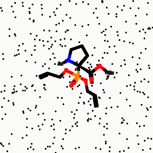 C=CCOP(=O)(OCC=C)[C@@]1(C(=O)OC(C)(C)C)CCCN1C(C)=O